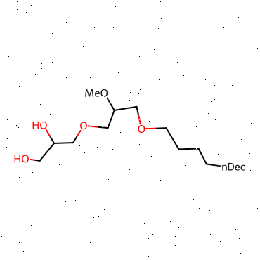 CCCCCCCCCCCCCCOCC(COCC(O)CO)OC